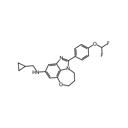 FC(F)Oc1ccc(-c2nc3cc(NCC4CC4)cc4c3n2CCCO4)cc1